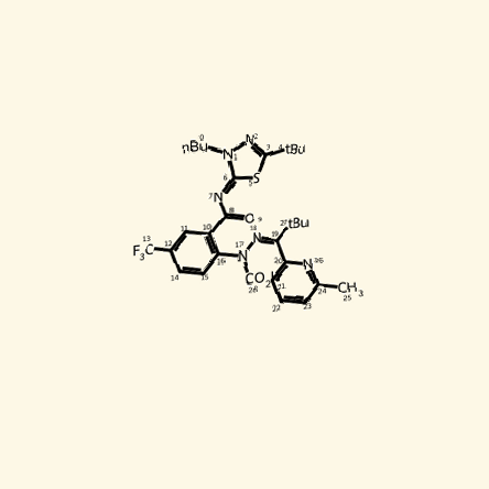 CCCCn1nc(C(C)(C)C)sc1=NC(=O)c1cc(C(F)(F)F)ccc1N(N=C(c1cccc(C)n1)C(C)(C)C)C(=O)O